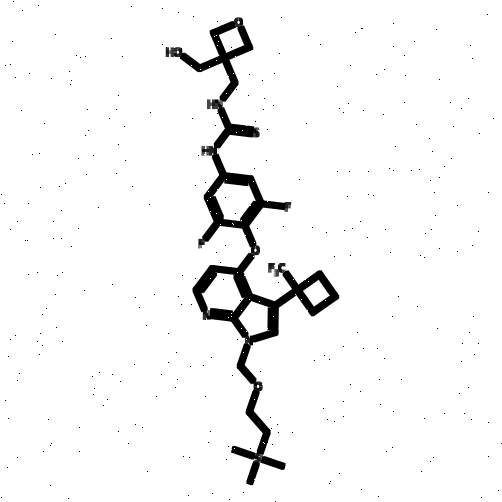 C[Si](C)(C)CCOCn1cc(C2(C(F)(F)F)CCC2)c2c(Oc3c(F)cc(NC(=S)NCC4(CO)COC4)cc3F)ccnc21